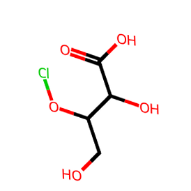 O=C(O)C(O)C(CO)OCl